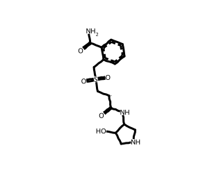 NC(=O)c1ccccc1CS(=O)(=O)C[CH]C(=O)NC1CNCC1O